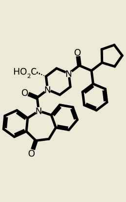 O=C1Cc2ccccc2N(C(=O)N2CCN(C(=O)C(c3ccccc3)C3CCCC3)C[C@H]2C(=O)O)c2ccccc21